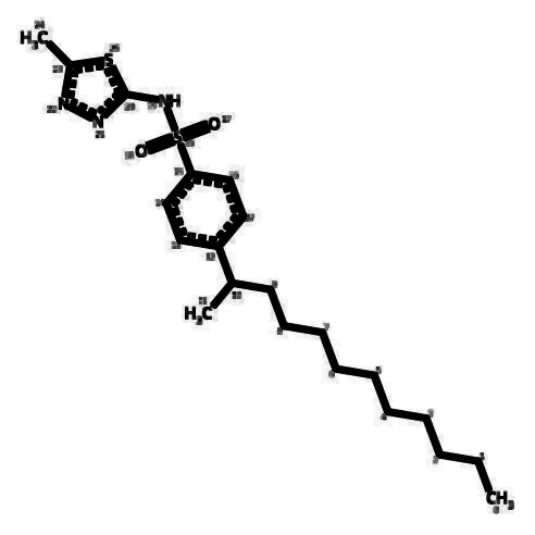 CCCCCCCCCCC(C)c1ccc(S(=O)(=O)Nc2nnc(C)s2)cc1